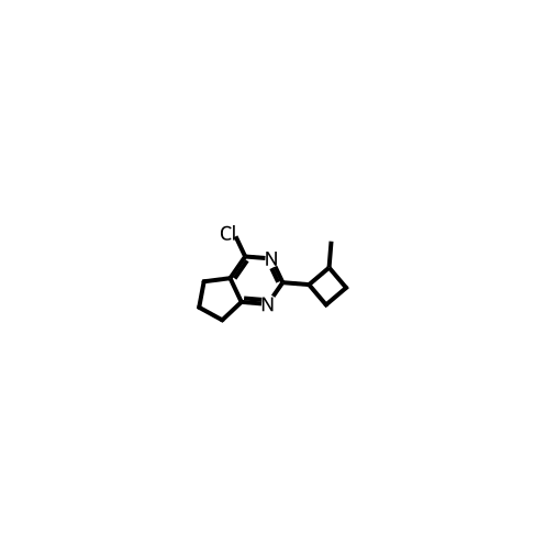 CC1CCC1c1nc(Cl)c2c(n1)CCC2